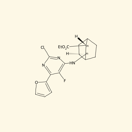 CCOC(=O)[C@@H]1C2CCC(CC2)[C@H]1Nc1nc(Cl)nc(-c2ccco2)c1F